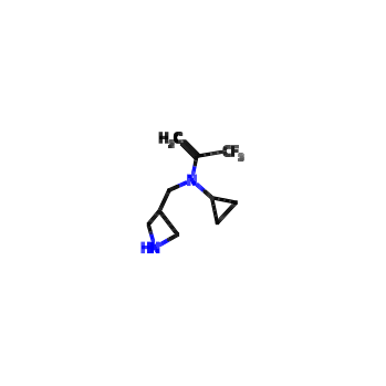 C=C(N(CC1CNC1)C1CC1)C(F)(F)F